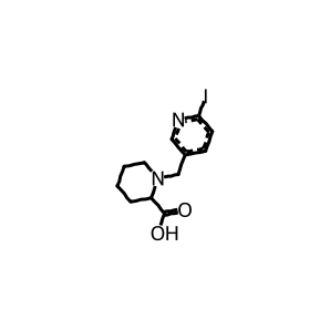 O=C(O)C1CCCCN1Cc1ccc(I)nc1